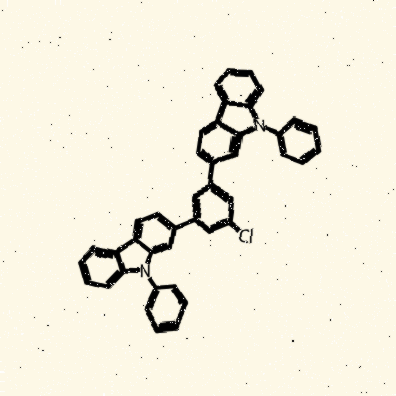 Clc1cc(-c2ccc3c4ccccc4n(-c4ccccc4)c3c2)cc(-c2ccc3c4ccccc4n(-c4ccccc4)c3c2)c1